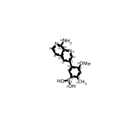 COc1cc(C)c(B(O)O)cc1-c1cnc2c(N)nccc2c1